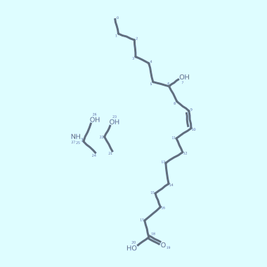 CCCCCCC(O)C/C=C\CCCCCCCC(=O)O.CCO.CCO.N